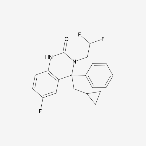 O=C1Nc2ccc(F)cc2C(CC2CC2)(c2ccccc2)N1CC(F)F